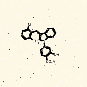 Cc1cccc(Cl)c1Cc1cn(-c2ccc(C(=O)O)c(O)c2)c2ccccc12